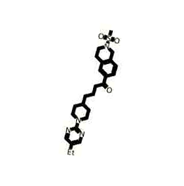 CCc1cnc(N2CCC(CCCC(=O)c3ccc4c(c3)CCN(S(C)(=O)=O)C4)CC2)nc1